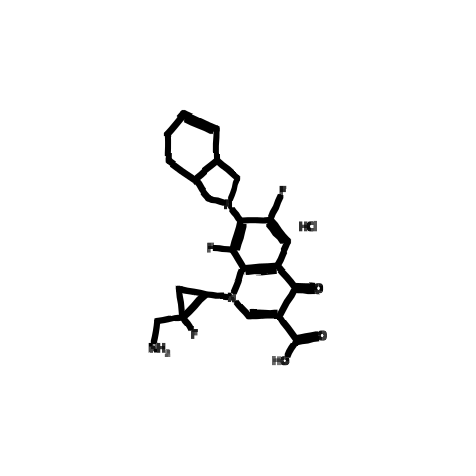 Cl.NCC1(F)CC1n1cc(C(=O)O)c(=O)c2cc(F)c(N3CC4C=CCCC4C3)c(F)c21